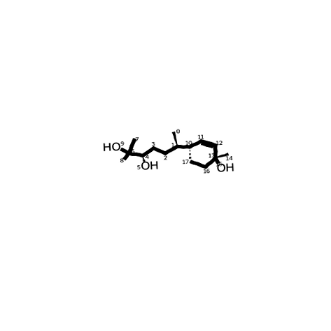 C[C@H](CC[C@H](O)C(C)(C)O)[C@@H]1C=C[C@](C)(O)CC1